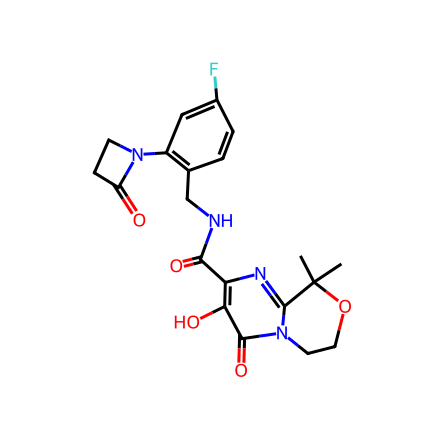 CC1(C)OCCn2c1nc(C(=O)NCc1ccc(F)cc1N1CCC1=O)c(O)c2=O